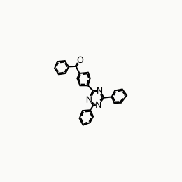 O=C(c1ccccc1)c1ccc(-c2nc(-c3ccccc3)nc(-c3ccccc3)n2)cc1